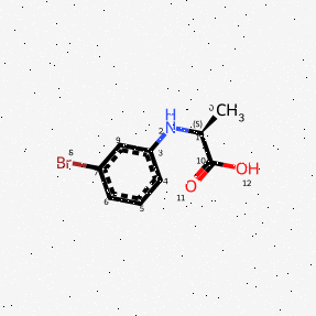 C[C@H](Nc1cccc(Br)c1)C(=O)O